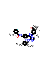 COc1ccc(CNc2nccn3c2c(-c2ccc(CNC(=O)c4cc(F)ccc4OC)cc2)nc3[C@]2(C)CC[C@@](C)(C(=O)OC)CC2)c(OC)c1